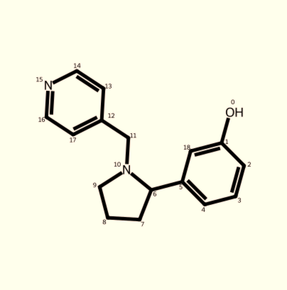 Oc1cccc(C2CCCN2Cc2ccncc2)c1